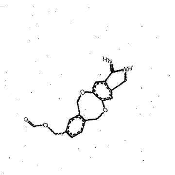 N=C1NCc2cc3c(cc21)OCc1cc(COC=O)ccc1CO3